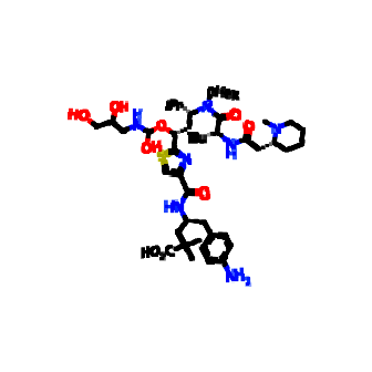 CCCCCCN(C(=O)[C@@H](NC(=O)C[C@H]1CCCCN1C)[C@@H](C)CC)[C@H](C[C@@H](OC(O)NCC(O)CO)c1nc(C(=O)N[C@@H](Cc2ccc(N)cc2)CC(C)(C)C(=O)O)cs1)C(C)C